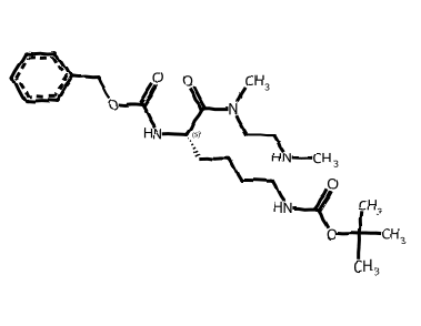 CNCCN(C)C(=O)[C@H](CCCCNC(=O)OC(C)(C)C)NC(=O)OCc1ccccc1